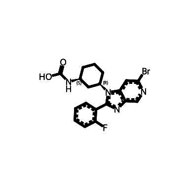 O=C(O)N[C@H]1CCC[C@@H](n2c(-c3ccccc3F)nc3cnc(Br)cc32)C1